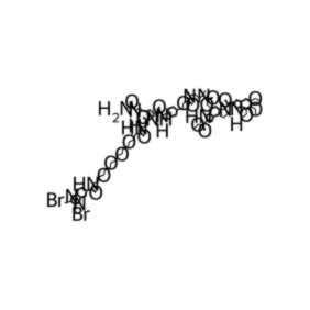 COC(=O)c1cc2c3c(cc(OC(=O)N(C)CCN(C)C(=O)OCc4ccc(NC(=O)[C@H](CCCNC(N)=O)NC(=O)CNC(=O)CCOCCOCCOCCOCCNC(=O)c5ccc6nc(CBr)c(CBr)nc6c5)cc4)c2[nH]1)N(C(=O)c1cc2cc(OC)c(OC)c(OC)c2[nH]1)CC3